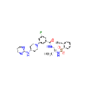 CC(C)(C)c1ccccc1S(=O)(=O)N[C@@H](CNC(=O)c1cc(F)cc(N2CCC(Nc3ncccn3)CC2)c1)C(=O)O